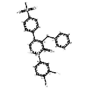 CS(=O)(=O)c1ccc(-c2cnn(-c3ccc(F)c(F)c3)c(=O)c2Cc2ccccc2)cc1